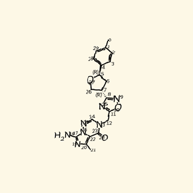 Cc1ccc([C@H]2C[C@H](c3noc(Cn4cnn5c(N)nc(C)c5c4=O)n3)CO2)cc1